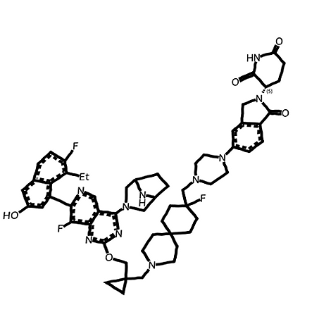 CCc1c(F)ccc2cc(O)cc(-c3ncc4c(N5CC6CCC(C5)N6)nc(OCC5(CN6CCC7(CC6)CCC(F)(CN6CCN(c8ccc9c(c8)CN([C@H]8CCC(=O)NC8=O)C9=O)CC6)CC7)CC5)nc4c3F)c12